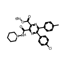 Cc1ccc(-c2nc(C(=O)OC(C)(C)C)c(C(=O)NN3CCCCC3)nc2-c2ccc(Cl)cc2)cc1